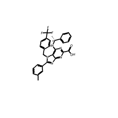 Cc1cccc(-c2nc3nc(C(=O)O)nc(N[C@H](C)c4ccccc4)c3n2Cc2ccc(C(F)(F)F)cc2)c1